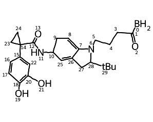 BC(=O)CCCN1C2=CCC(NC(=O)C3(c4ccc(O)c(O)c4)CC3)C=C2CC1C(C)(C)C